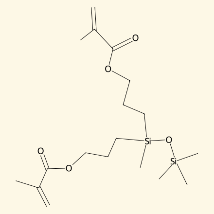 C=C(C)C(=O)OCCC[Si](C)(CCCOC(=O)C(=C)C)O[Si](C)(C)C